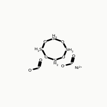 O1[SiH2]O[SiH2]O[SiH2]O[SiH2]1.O=P[O-].O=P[O-].[Ni+2]